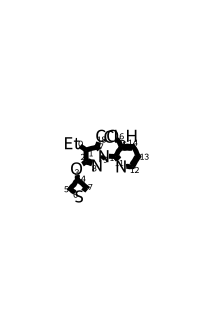 CCC1C(OC2CSC2)=NN(c2ncccc2Cl)C1C(=O)O